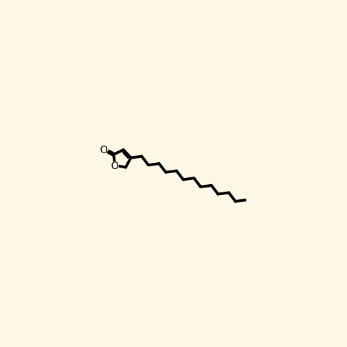 CCCCCCCCCCCCCC1=CC(=O)OC1